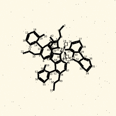 CCCC1=Cc2c(ccc(CCC)c2-c2ccccc2C)[CH]1[Zr]([Cl])([Cl])([c]1cccc2c1[SiH2]c1ccccc1-2)[CH]1C(CCC)=Cc2c1ccc(CCC)c2-c1ccccc1C